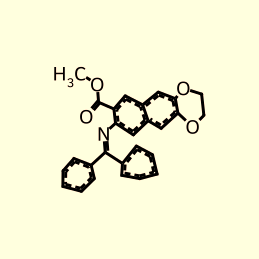 COC(=O)c1cc2cc3c(cc2cc1N=C(c1ccccc1)c1ccccc1)OCCO3